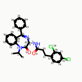 CC(C)N1C(=O)[C@@H](NC(=O)CCc2ccc(Cl)cc2Cl)N=C(c2ccccc2)c2ccccc21